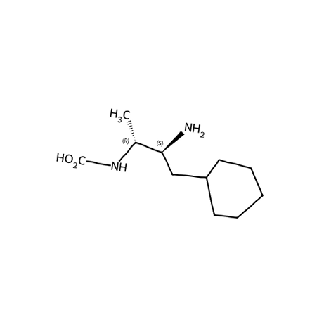 C[C@@H](NC(=O)O)[C@@H](N)CC1CCCCC1